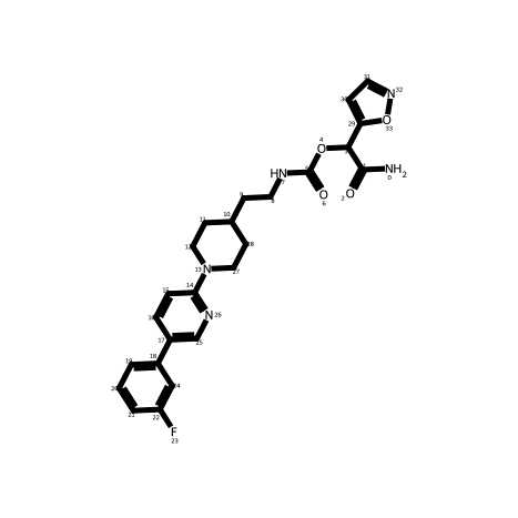 NC(=O)C(OC(=O)NCCC1CCN(c2ccc(-c3cccc(F)c3)cn2)CC1)c1ccno1